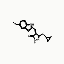 COc1ccc2[nH]c(/C=C3\C(=O)NN=C3OC3CC3)cc2c1